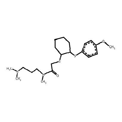 COc1ccc(SC2CCCCC2SCC(=O)N(C)CCCN(C)C)cc1